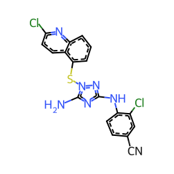 N#Cc1ccc(Nc2nc(N)n(Sc3cccc4nc(Cl)ccc34)n2)c(Cl)c1